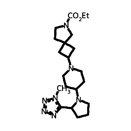 CCOC(=O)N1CCC2(CC(N3CCC(N4CCCC4c4nnnn4C)CC3)C2)C1